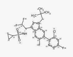 CC(C)(C)Cn1cc([C@H](NS(=O)(=O)C2CC2)C(F)F)c2cc(F)c(-c3ncc(F)cc3Cl)cc21